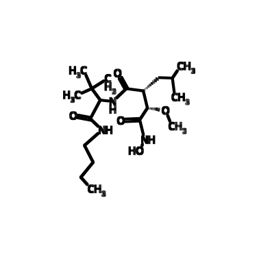 CCCCNC(=O)C(NC(=O)[C@H](CC(C)C)[C@H](OC)C(=O)NO)C(C)(C)C